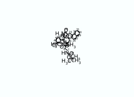 CC[N+]([O-])(C(=O)CCNC(=O)OC(C)(C)C)N1[C@H](C)CCN([C@H](Cc2cccc3ccccc23)C(N)=O)C(=O)[C@@H]1c1cccc(Cl)c1